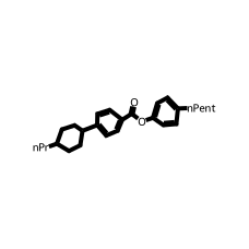 CCCCCc1ccc(OC(=O)c2ccc(C3CCC(CCC)CC3)cc2)cc1